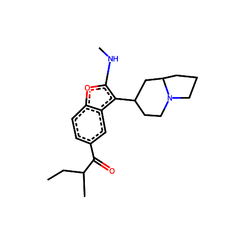 CCC(C)C(=O)c1ccc2oc(NC)c(C3CCN4CCCC4C3)c2c1